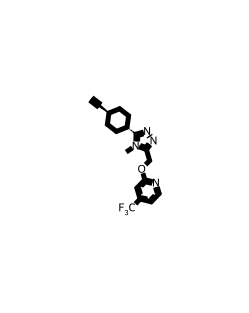 C#C[C@H]1CC[C@H](c2nnc(COc3cc(C(F)(F)F)ccn3)n2C)CC1